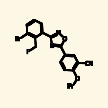 CC(C)Oc1ccc(-c2nc(-c3cccc(Br)c3CF)no2)cc1C#N